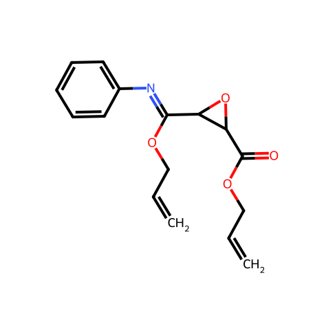 C=CCOC(=O)C1OC1C(=Nc1ccccc1)OCC=C